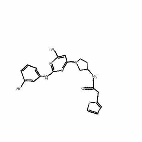 CCCc1cc(N2CCC(NC(=O)Cc3cccs3)C2)nc(Nc2cccc(C#N)c2)n1